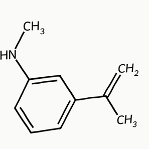 C=C(C)c1cccc(NC)c1